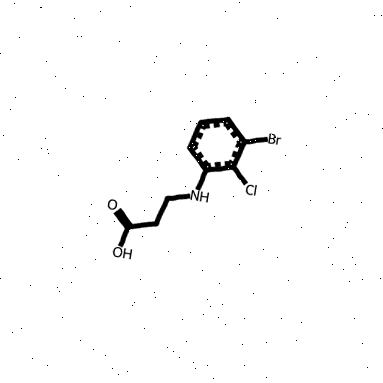 O=C(O)CCNc1cccc(Br)c1Cl